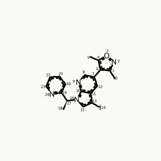 Cc1noc(C)c1-c1cnc2c(c1)c(I)cn2[C@@H](C)c1ccccn1